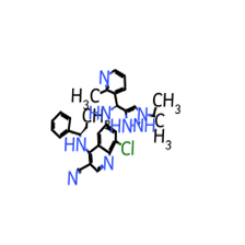 CC[C@@H](Nc1c(C#N)cnc2c(Cl)cc(N[C@H](C3=CN(C(C)C)NN3)c3cccnc3C)cc12)c1ccccc1